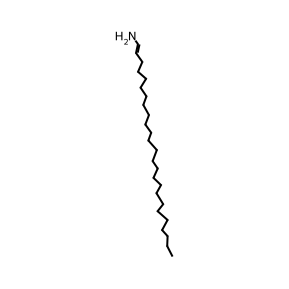 CCCCCCCCCCCCCCCCCCCCCCC/C=C/N